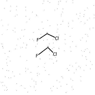 F[CH]Cl.F[C]Cl